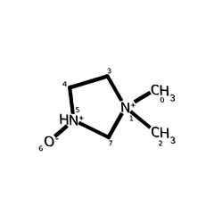 C[N+]1(C)CC[NH+]([O-])C1